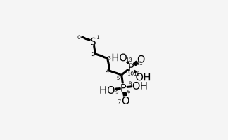 CSCCCC(P(=O)(O)O)P(=O)(O)O